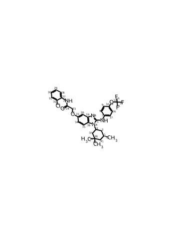 C[C@@H]1CC(n2c(Nc3ccc(OC(F)(F)F)cc3)nc3cc(OCC(=O)Nc4ccccc4Cl)ccc32)CC(C)(C)C1